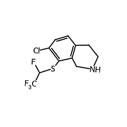 FC(Sc1c(Cl)ccc2c1CNCC2)C(F)(F)F